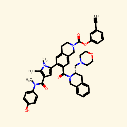 C#Cc1cccc(OC(=O)N2CCc3cc(-c4cc(C(=O)N(C)c5ccc(O)cc5)c(C)n4C)c(C(=O)N4Cc5ccccc5C[C@H]4CN4CCOCC4)cc3C2)c1